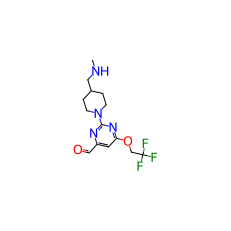 CNCC1CCN(c2nc(C=O)cc(OCC(F)(F)F)n2)CC1